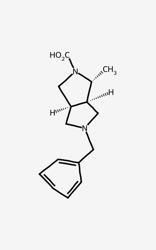 C[C@@H]1[C@H]2CN(Cc3ccccc3)C[C@H]2CN1C(=O)O